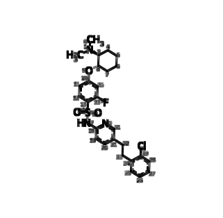 CN(C)[C@H]1CCCC[C@@H]1Oc1ccc(S(=O)(=O)Nc2ccc(CCc3ccccc3Cl)cn2)c(F)c1